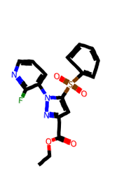 CCOC(=O)c1cc(S(=O)(=O)c2ccccc2)n(-c2cccnc2F)n1